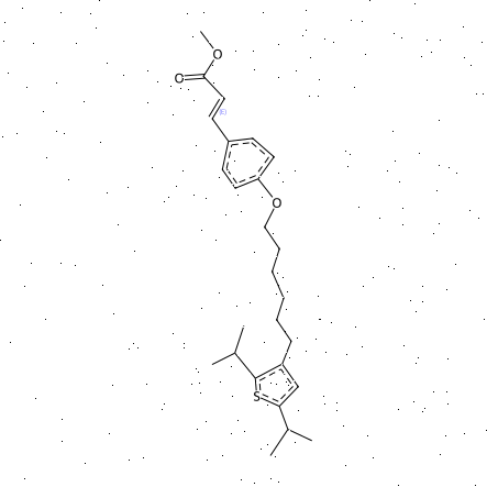 COC(=O)/C=C/c1ccc(OCCCCCCc2cc(C(C)C)sc2C(C)C)cc1